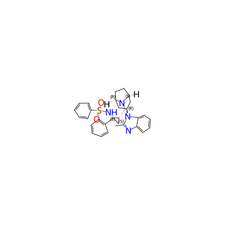 Cc1nc2ccccc2n1[C@H]1C[C@H]2CC[C@@H](C1)N2C[C@@H]1C[C@@]1(NS(=O)(=O)c1ccccc1)c1ccccc1